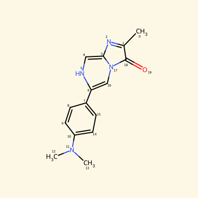 Cc1nc2c[nH]c(-c3ccc(N(C)C)cc3)cn-2c1=O